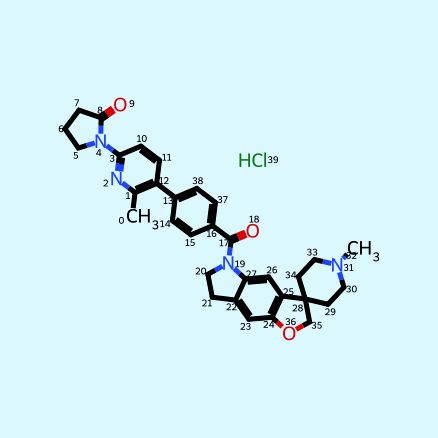 Cc1nc(N2CCCC2=O)ccc1-c1ccc(C(=O)N2CCc3cc4c(cc32)C2(CCN(C)CC2)CO4)cc1.Cl